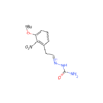 CCCCOc1cccc(C/C=N/NC(N)=O)c1[N+](=O)[O-]